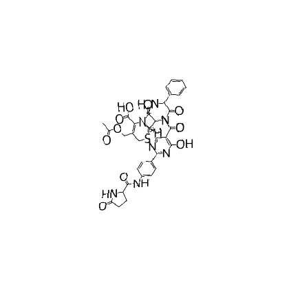 CC(=O)OCC1=C(C(=O)O)N2C(=O)C(N(C(=O)c3cnc(-c4ccc(NC(=O)C5CCC(=O)N5)cc4)nc3O)C(=O)C(N)c3ccccc3)[C@@H]2SC1